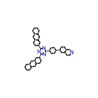 c1ccc2cc3cc(-c4nc(-c5ccc(-c6ccc7cnccc7c6)cc5)nc(-c5ccc6cc7ccccc7cc6c5)n4)ccc3cc2c1